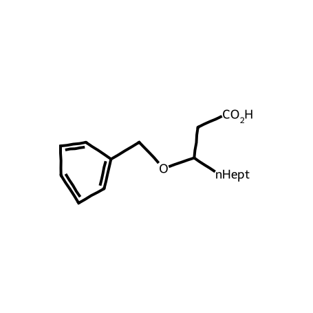 CCCCCCCC(CC(=O)O)OCc1ccccc1